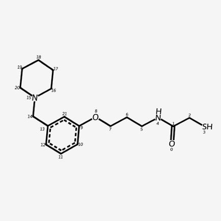 O=C(CS)NCCCOc1cccc(CN2CCCCC2)c1